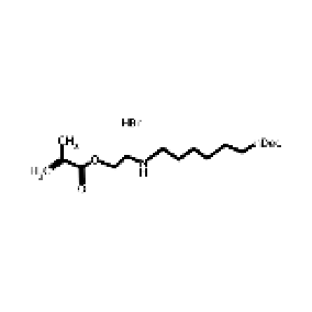 Br.C=C(C)C(=O)OCCNCCCCCCCCCCCCCCCC